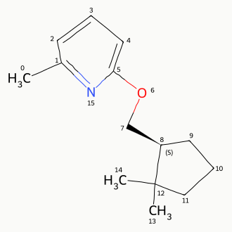 Cc1cccc(OC[C@H]2CCCC2(C)C)n1